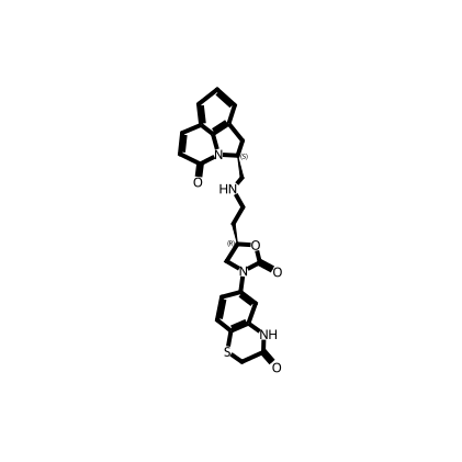 O=C1CSc2ccc(N3C[C@@H](CCNC[C@@H]4Cc5cccc6ccc(=O)n4c56)OC3=O)cc2N1